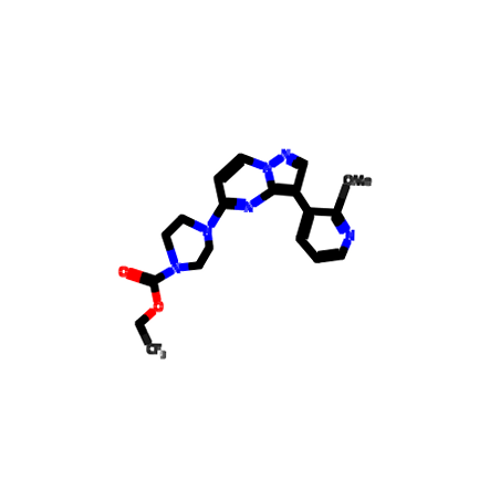 COc1ncccc1-c1cnn2ccc(N3CCN(C(=O)OCC(F)(F)F)CC3)nc12